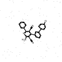 N#Cc1c(N)nc(-c2ccccc2)c(C#N)c1-c1cccc(-c2ccc(Cl)cc2)c1